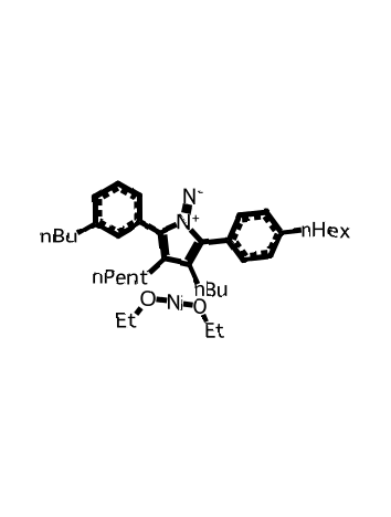 CCCCCCc1ccc(C2=C(CCCC)C(CCCCC)=C(c3cccc(CCCC)c3)[N+]2=[N-])cc1.CC[O][Ni][O]CC